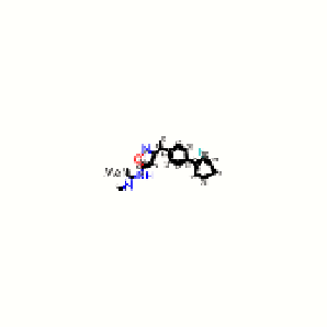 C/N=C(\NC)Nc1cc(C(C)c2ccc(-c3ccccc3F)cc2)no1